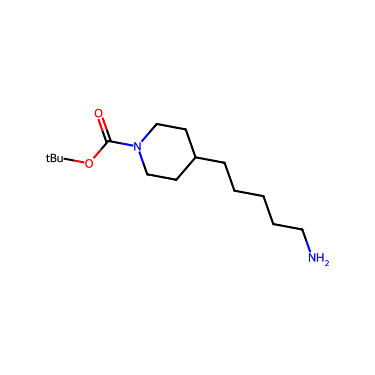 CC(C)(C)OC(=O)N1CCC(CCCCCN)CC1